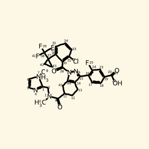 CN(Cc1nccn1C)C(=O)C1CCc2c(-c3ccc(C(=O)O)cc3F)nn(C(=O)c3c(Cl)cccc3C3(C(F)(F)F)CC3)c2C1